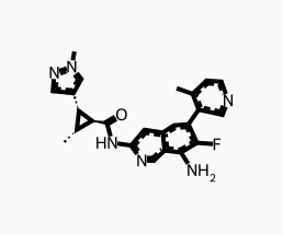 Cc1ccncc1-c1cc2cc(NC(=O)[C@H]3[C@H](C)[C@@H]3c3cnn(C)c3)ncc2c(N)c1F